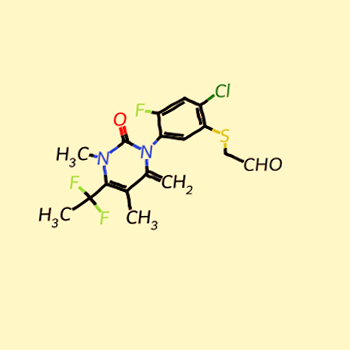 C=C1C(C)=C(C(C)(F)F)N(C)C(=O)N1c1cc(SCC=O)c(Cl)cc1F